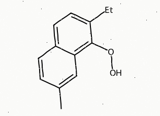 CCc1ccc2ccc(C)cc2c1OO